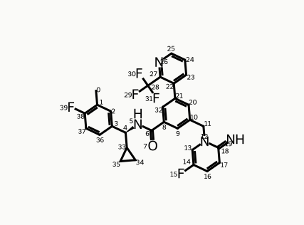 Cc1cc([C@@H](NC(=O)c2cc(Cn3cc(F)ccc3=N)cc(-c3cccnc3C(F)(F)F)c2)C2CC2)ccc1F